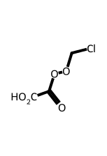 O=C(O)C(=O)OOCCl